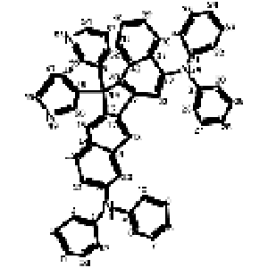 c1ccc(N(c2ccccc2)c2ccc3cc4c(cc3c2)-c2cc(N(c3ccccc3)c3ccccc3)c3ccccc3c2C4(c2cccnc2)c2cccnc2)cc1